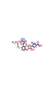 CC(C)OC(=O)[C@H](C)NP(OCC1OC(n2ccc(NO)nc2=O)C(O)C1O)Oc1ccccc1